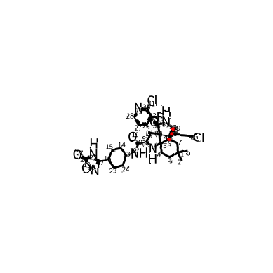 CC1(C)CCC2(CC1)N[C@@H](C(=O)N[C@H]1CC[C@H](c3noc(=O)[nH]3)CC1)[C@H](c1ccnc(Cl)c1F)[C@]21C(=O)Nc2cc(Cl)ccc21